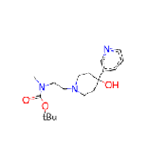 CN(CCN1CCC(O)(c2cccnc2)CC1)C(=O)OC(C)(C)C